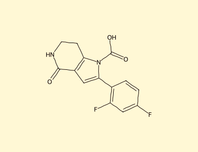 O=C1NCCc2c1cc(-c1ccc(F)cc1F)n2C(=O)O